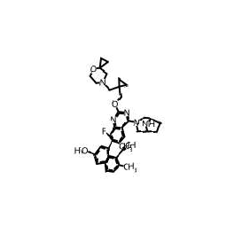 C#Cc1c(C)ccc2cc(O)cc(-c3c(C)cc4c(N5CC6CCC(C5)N6)nc(OCC5(CN6CCOC7(CC7)C6)CC5)nc4c3F)c12